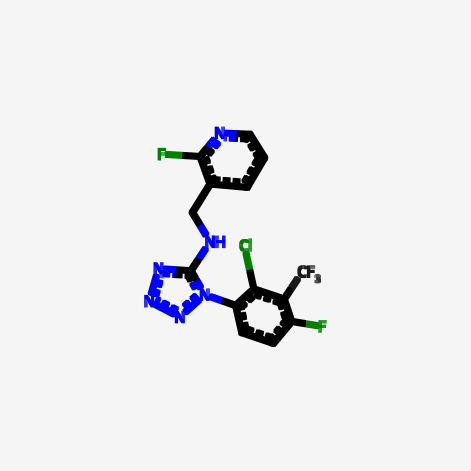 Fc1ccc(-n2nnnc2NCc2cccnc2F)c(Cl)c1C(F)(F)F